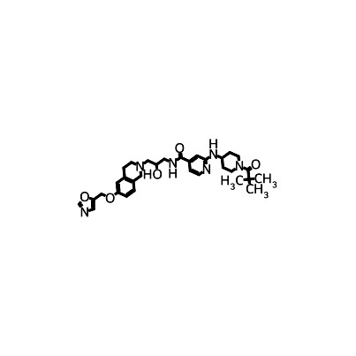 CC(C)(C)C(=O)N1CCC(Nc2cc(C(=O)NCC(O)CN3CCc4cc(OCc5cnco5)ccc4C3)ccn2)CC1